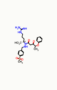 CC(Oc1ccccc1)C(=O)CC(=O)N(NCc1ccc(S(C)(=O)=O)cc1)[C@@H](CCCNC(=N)N)C(=O)O